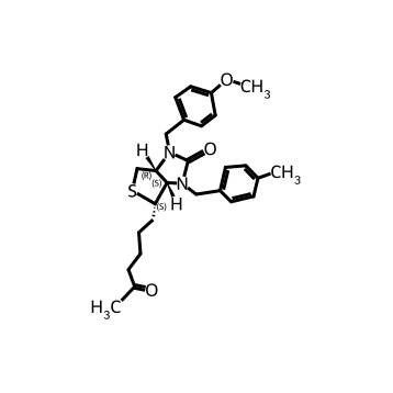 COc1ccc(CN2C(=O)N(Cc3ccc(C)cc3)[C@@H]3[C@H](CCCCC(C)=O)SC[C@@H]32)cc1